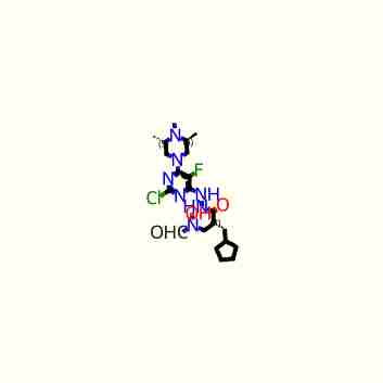 C[C@H]1CN(c2nc(Cl)nc(NNC(=O)[C@H](CC3CCCC3)CN(O)C=O)c2F)C[C@H](C)N1C